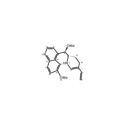 C=CC1=CN[C@H]([C@H](OC)c2ccnc3ccc(OC)cc23)CC1